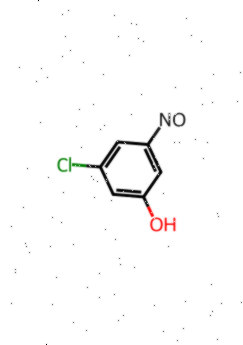 O=Nc1cc(O)cc(Cl)c1